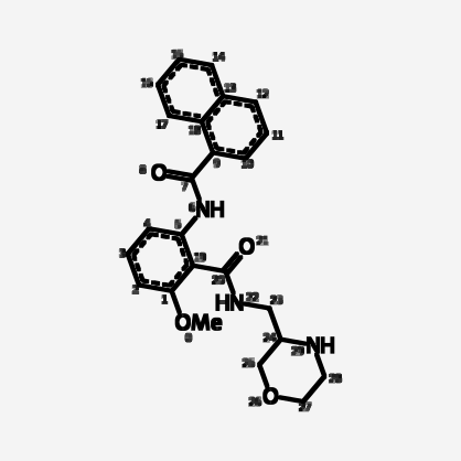 COc1cccc(NC(=O)c2cccc3ccccc23)c1C(=O)NCC1COCCN1